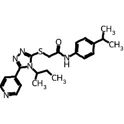 CCC(C)n1c(SCC(=O)Nc2ccc(C(C)C)cc2)nnc1-c1ccncc1